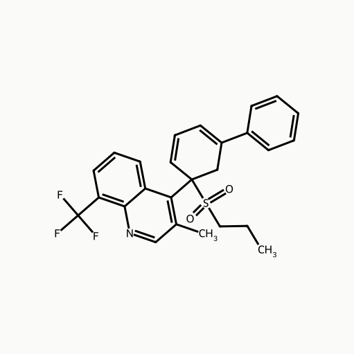 CCCS(=O)(=O)C1(c2c(C)cnc3c(C(F)(F)F)cccc23)C=CC=C(c2ccccc2)C1